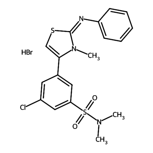 Br.CN(C)S(=O)(=O)c1cc(Cl)cc(-c2cs/c(=N/c3ccccc3)n2C)c1